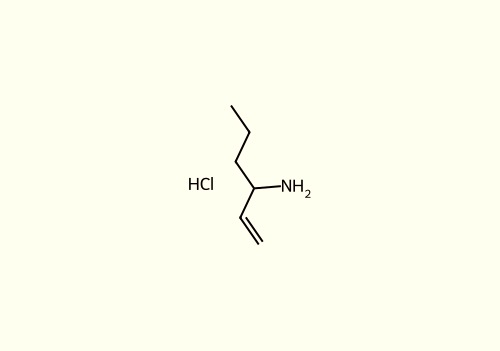 C=CC(N)CCC.Cl